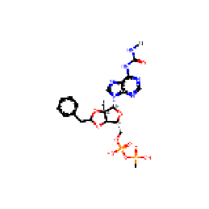 CCNC(=O)Nc1ncnc2c1ncn2[C@@H]1O[C@H](COP(=O)(O)OP(C)(=O)O)C2OC(Cc3ccccc3)O[C@@H]21